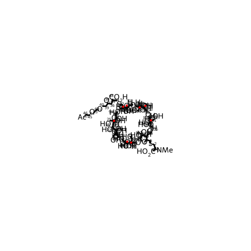 CN[C@H](CSCC1OC2O[C@@H]3C(CO)O[C@H](O[C@@H]4C(CO)O[C@@](O)(C5C(CO)O[C@H](O[C@@H]6C(CSC[C@@H](CC(=O)CCOCCOCCC(C)=O)C(=O)O)O[C@H](O[C@@H]7C(CO)O[C@@H](O[C@@H]8C(CO)O[C@@H](O[C@H]1[C@H](O)[C@@H]2O)C(O)[C@H]8O)C(O)[C@H]7O)C(O)[C@H]6O)C(O)[C@H]5O)C(O)[C@H]4O)C(O)[C@H]3O)C(=O)O